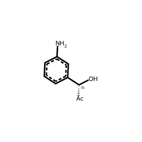 CC(=O)[C@@H](O)c1cccc(N)c1